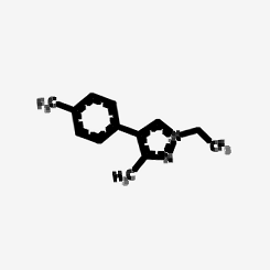 Cc1nn(CC(F)(F)F)cc1-c1ccc(C(F)(F)F)cc1